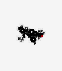 CCCCC1(C(=O)N2CC[C@@]3(S(=O)(=O)c4ccc(F)cc4)c4ccc(C(F)(C(F)(F)F)C(F)(F)F)cc4CC[C@@H]23)CCS(=O)(=O)C1